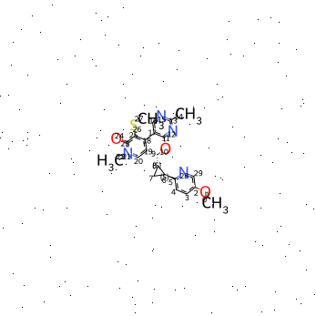 COc1ccc([C@H]2C[C@@H]2COc2nc(C)ncc2-c2ccn(C)c(=O)c2SC)nc1